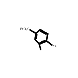 CCOC(=O)c1ccc(C(C)(C)C)c(C)c1